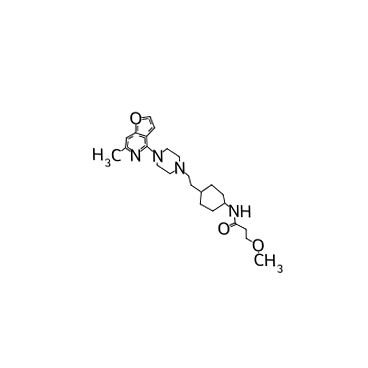 COCCC(=O)NC1CCC(CCN2CCN(c3nc(C)cc4occc34)CC2)CC1